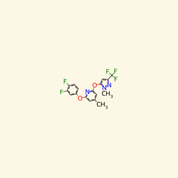 Cc1cc(Oc2ccc(F)c(F)c2)nc(Oc2cc(C(F)(F)F)nn2C)c1